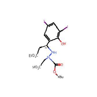 CCOC(=O)C[C@H](NN(CC(=O)O)C(=O)OC(C)(C)C)c1cc(I)cc(I)c1O